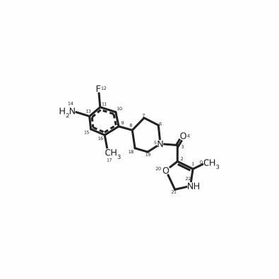 CC1=C(C(=O)N2CCC(c3cc(F)c(N)cc3C)CC2)OCN1